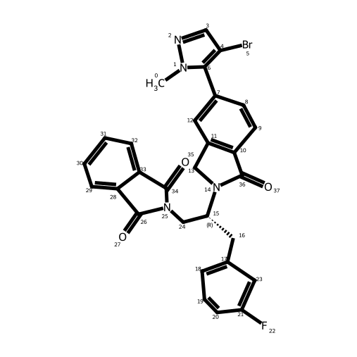 Cn1ncc(Br)c1-c1ccc2c(c1)CN([C@H](Cc1cccc(F)c1)CN1C(=O)c3ccccc3C1=O)C2=O